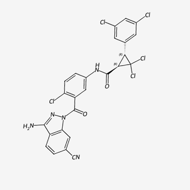 N#Cc1ccc2c(N)nn(C(=O)c3cc(NC(=O)[C@H]4[C@H](c5cc(Cl)cc(Cl)c5)C4(Cl)Cl)ccc3Cl)c2c1